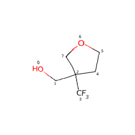 OCC1(C(F)(F)F)CCOC1